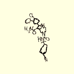 CC(C)(NC(=O)N1CCn2nc(-c3ccc(Cl)c(Cl)c3)c(C(N)=O)c2C1)c1ccc(C#N)cc1